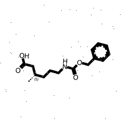 C[C@@H](CCCNC(=O)OCc1ccccc1)CC(=O)O